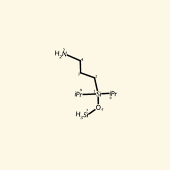 CC(C)[Si](CCCN)(O[SiH3])C(C)C